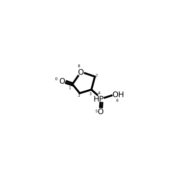 O=C1CC([PH](=O)O)CO1